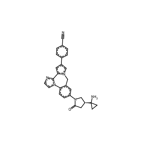 N#Cc1ccc(-c2cc3n(c2)Cc2cc(N4C[C@@H](C5(N)CC5)CC4=O)ccc2-n2ccnc2-3)cc1